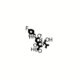 COc1nc2c(cc1NCc1ccc(F)cc1F)c(=O)c(C(=O)O)cn2C(CO)C(C)C